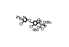 CC(C)Oc1ncc(OCc2cc3onc(N(C(=O)OC(C)(C)C)C(=O)OC(C)(C)C)c3cc2Cl)cc1Cl